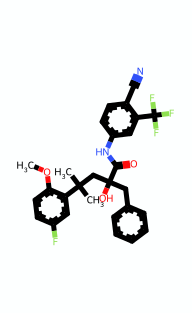 COc1ccc(F)cc1C(C)(C)CC(O)(Cc1ccccc1)C(=O)Nc1ccc(C#N)c(C(F)(F)F)c1